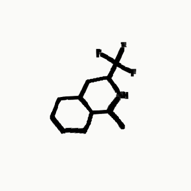 CC1NC(C(F)(F)F)CC2CCCCC21